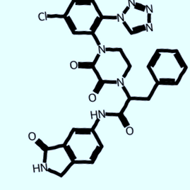 O=C1NCc2ccc(NC(=O)C(Cc3ccccc3)N3CCN(c4cc(Cl)ccc4-n4cnnn4)C(=O)C3=O)cc21